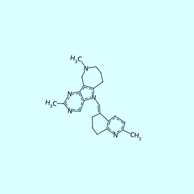 Cc1ccc2c(n1)CCC/C2=C\n1c2c(c3nc(C)ncc31)CN(C)CCC2